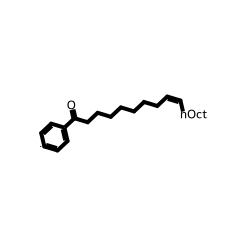 CCCCCCCC/C=C\CCCCCCCC(=O)c1cc[c]cc1